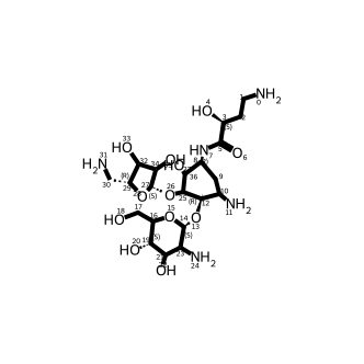 NCC[C@H](O)C(=O)N[C@@H]1CC(N)[C@@H](O[C@H]2OC(CO)[C@@H](O)C(O)C2N)C(O[C@@H]2O[C@H](CN)C(O)C2O)C1O